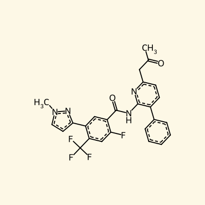 CC(=O)Cc1ccc(-c2ccccc2)c(NC(=O)c2cc(-c3ccn(C)n3)c(C(F)(F)F)cc2F)n1